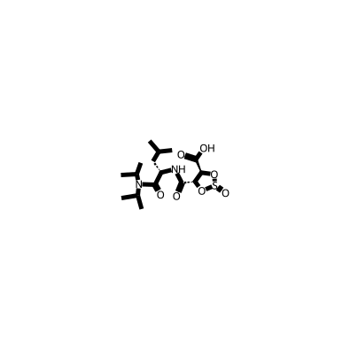 CC(C)C[C@H](NC(=O)[C@H]1OS(=O)O[C@@H]1C(=O)O)C(=O)N(C(C)C)C(C)C